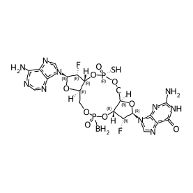 BP1(=O)OC[C@H]2O[C@@H](n3cnc4c(N)ncnc43)[C@H](F)[C@@H]2O[P@](=O)(S)OC[C@H]2O[C@@H](n3cnc4c(=O)[nH]c(N)nc43)[C@H](F)[C@@H]2O1